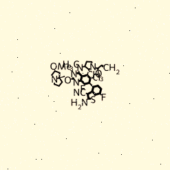 C=CC(=O)N1CCC(N(C)c2nc(OC[C@@]34CCCN3C[C@H](OC)C4)nc3c(F)c(-c4ccc(F)c5sc(N)c(C#N)c45)c(Cl)cc23)C1C